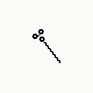 CCCCCCCCCCCCCCC.c1ccc(P(c2ccccc2)c2ccccc2)cc1